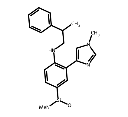 CN[S+]([O-])c1ccc(NCC(C)c2ccccc2)c(-c2cn(C)cn2)c1